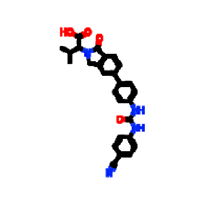 CC(C)C(C(=O)O)N1Cc2cc(-c3ccc(NC(=O)Nc4ccc(C#N)cc4)cc3)ccc2C1=O